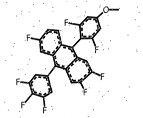 COc1cc(F)c(-c2c3ccc(F)cc3c(-c3cc(F)c(F)c(F)c3)c3cc(F)c(F)cc23)c(F)c1